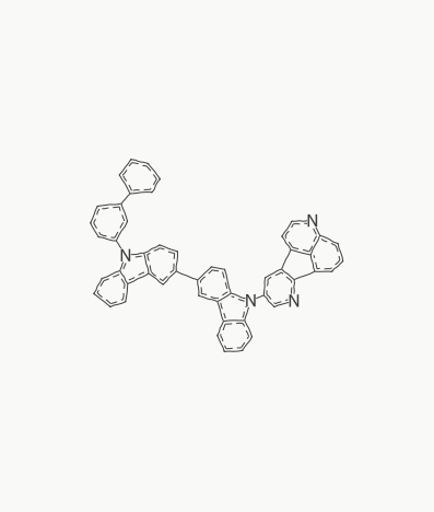 c1ccc(-c2cccc(-n3c4ccccc4c4cc(-c5ccc6c(c5)c5ccccc5n6-c5cnc6c(c5)-c5ccnc7cccc-6c57)ccc43)c2)cc1